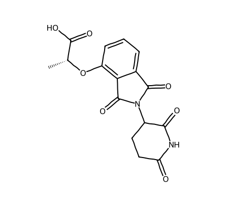 C[C@@H](Oc1cccc2c1C(=O)N(C1CCC(=O)NC1=O)C2=O)C(=O)O